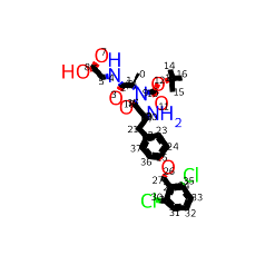 C[C@H](C(=O)NCC(=O)O)N(C(=O)OC(C)(C)C)C(=O)[C@@H](N)Cc1ccc(OCc2c(Cl)cccc2Cl)cc1